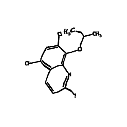 CC(C)Oc1c(Cl)cc(Cl)c2ccc(I)nc12